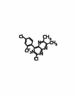 Cc1nc2nc(Cl)nc(-c3ccc(Cl)cc3C(F)(F)F)c2nc1C